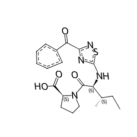 CC[C@H](C)[C@H](Nc1nc(C(=O)c2ccccc2)ns1)C(=O)N1CCC[C@H]1C(=O)O